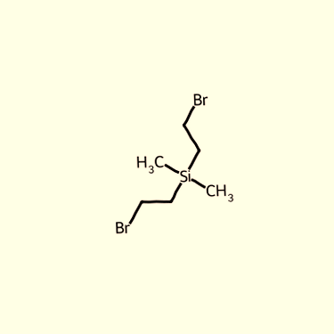 C[Si](C)(CCBr)CCBr